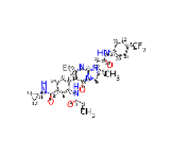 C=CC(=O)Nc1cc(C(=O)NC2CC2)ccc1-c1c(CC)nc2n(CC(=O)Nc3ccc(C(F)(F)F)cc3)c(C)cn2c1=O